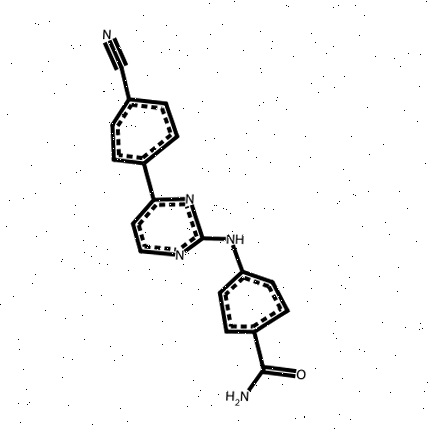 N#Cc1ccc(-c2ccnc(Nc3ccc(C(N)=O)cc3)n2)cc1